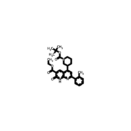 CCOC(=O)c1cc2c(C3CCCN(C(=O)OC(C)(C)C)C3)cc(-c3ccccc3C)nc2[nH]c1=O